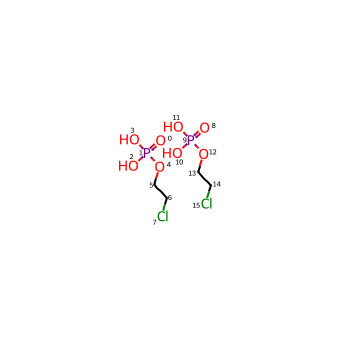 O=P(O)(O)OCCCl.O=P(O)(O)OCCCl